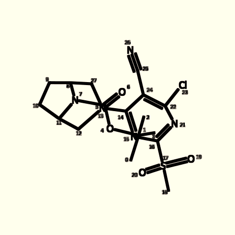 CC(C)(C)OC(=O)N1C2CCC1CN(c1nc(S(C)(=O)=O)nc(Cl)c1C#N)C2